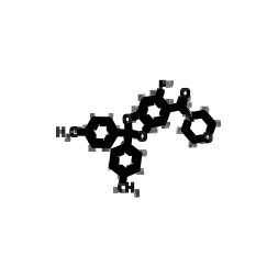 Cc1ccc(C2(c3ccc(C)cc3)Oc3cc(F)c(C(=O)N4CCOCC4)cc3O2)cc1